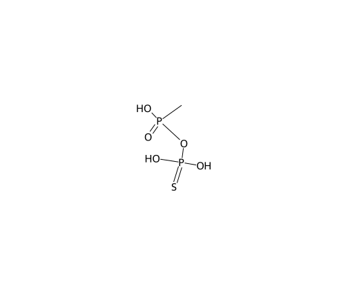 CP(=O)(O)OP(O)(O)=S